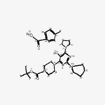 CC(C)(C)OC(=O)N1CCN(c2nc(N3CCCC3)nc(N3CCCC3)c2O)CC1.Cc1ccc(C(=O)O)cc1